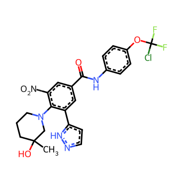 CC1(O)CCCN(c2c(-c3ccn[nH]3)cc(C(=O)Nc3ccc(OC(F)(F)Cl)cc3)cc2[N+](=O)[O-])C1